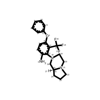 Nc1ccc(Oc2ccccc2)c(C(F)(F)F)c1N1CCN2CCC[C@H]2C1